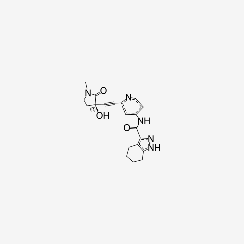 CN1CC[C@@](O)(C#Cc2cc(NC(=O)c3n[nH]c4c3CCCC4)ccn2)C1=O